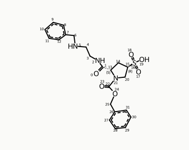 O=C(NCCNCc1ccccc1)[C@@H]1C[C@@H](S(=O)(=O)O)CN1C(=O)OCc1ccccc1